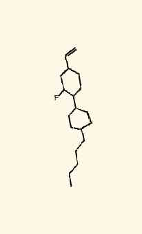 C=CC1CCC(C2CCC(CCCCC)CC2)C(F)C1